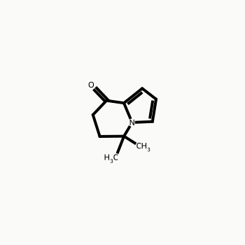 CC1(C)CCC(=O)c2cccn21